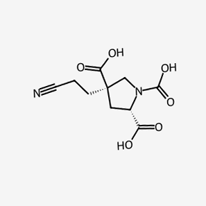 N#CCC[C@@]1(C(=O)O)C[C@@H](C(=O)O)N(C(=O)O)C1